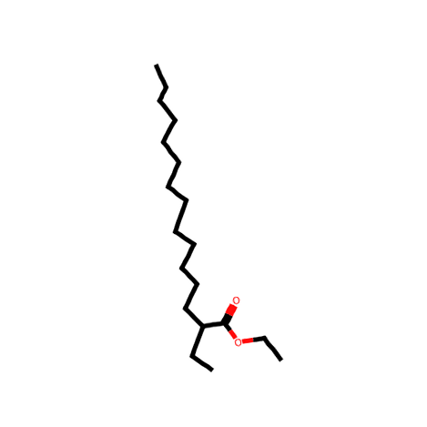 CCCCCCCCCCCCCC(CC)C(=O)OCC